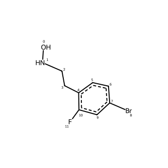 ONCCc1ccc(Br)cc1F